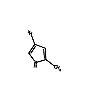 [3H]C1=CBC(C)=C1